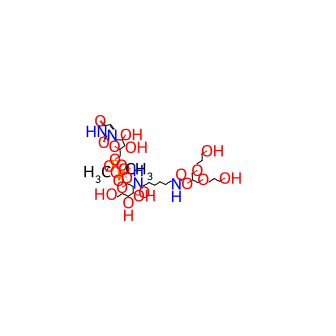 COP(=O)(OCC1OC(n2ccc(=O)[nH]c2=O)C(O)C1O)OP(=O)(OC)O[C@H]1OC(CO)[C@@H](O)[C@H](O)C1NC(=O)CCCCCNC(=O)OC(COCCCO)COCCCO